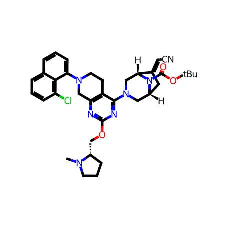 CN1CCC[C@H]1COc1nc2c(c(N3C[C@H]4CC(=CC#N)[C@@H](C3)N4C(=O)OC(C)(C)C)n1)CCN(c1cccc3cccc(Cl)c13)C2